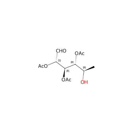 CC(=O)O[C@H]([C@H](OC(C)=O)[C@@H](C)O)[C@@H](C=O)OC(C)=O